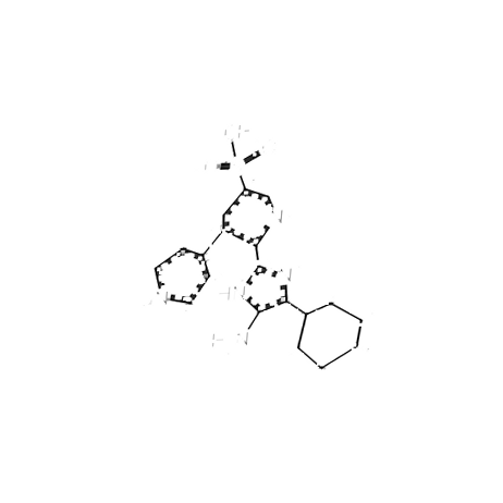 CS(=O)(=O)c1cnc(-c2nc(C3CCCCC3)c(N)[nH]2)c(-c2ccncc2)c1